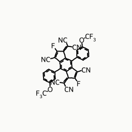 N#CC(C#N)=C1C(F)=C(C#N)c2c1c(-c1cccc(OC(F)(F)F)c1)c1c(c2-c2cccc(OC(F)(F)F)c2)C(=C(C#N)C#N)C(F)=C1C#N